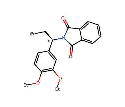 CCOc1ccc([C@@H](CC(C)C)N2C(=O)c3ccccc3C2=O)cc1OCC